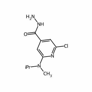 CC(C)N(C)c1cc(C(=O)NN)cc(Cl)n1